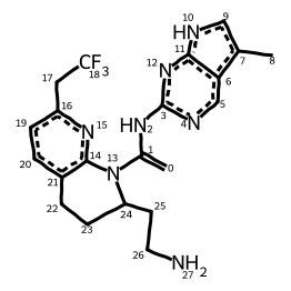 C=C(Nc1ncc2c(C)c[nH]c2n1)N1c2nc(CC(F)(F)F)ccc2CCC1CCN